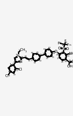 CCn1cc(-c2ccc(Cl)cc2Cl)nc1C=Cc1ccc(-c2ccc(Oc3ccc(C(=O)O)c(N)c3S(=O)(=O)C(F)(F)F)cc2)cc1